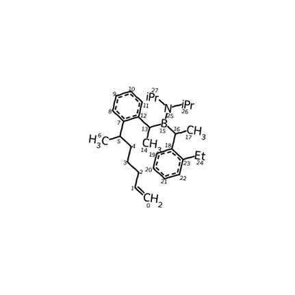 C=CCCCC(C)c1ccccc1C(C)B(C(C)c1ccccc1CC)N(C(C)C)C(C)C